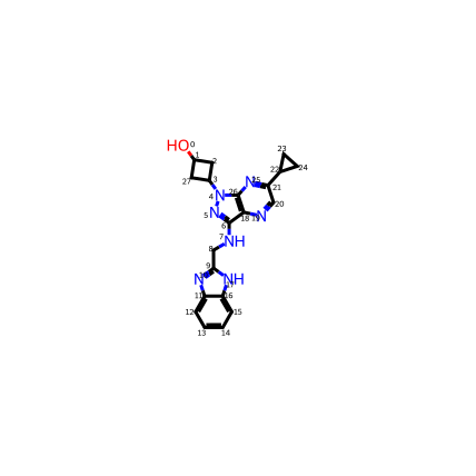 OC1CC(n2nc(NCc3nc4ccccc4[nH]3)c3ncc(C4CC4)nc32)C1